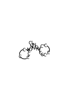 Clc1nc(ON=C2CCCCCCCCCCCCCCC2)nc(ON=C2CCCCCCCCCCCCCCC2)n1